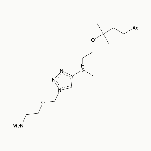 CNCCOCn1cc([SH](C)CCOC(C)(C)CCC(C)=O)nn1